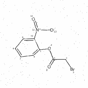 O=C(CBr)Oc1ccccc1[N+](=O)[O-]